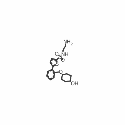 NCCNS(=O)(=O)c1ccc(-c2ccccc2O[C@H]2CC[C@H](O)CC2)s1